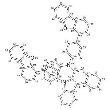 c1ccc(-n2c3ccccc3c3c4ccccc4cc(N(c4ccc(-c5cccc6c5oc5ccccc56)cc4)c4ccc(-c5cccc6c5oc5ccccc56)cc4)c32)cc1